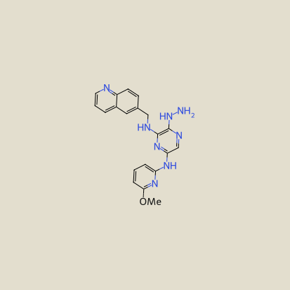 COc1cccc(Nc2cnc(NN)c(NCc3ccc4ncccc4c3)n2)n1